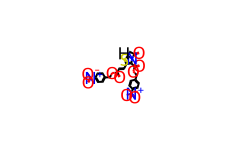 O=C(C=CC1=C(C(=O)OCc2ccc([N+](=O)[O-])cc2)N2C(=O)C[C@@H]2S1)OCc1ccc([N+](=O)[O-])cc1